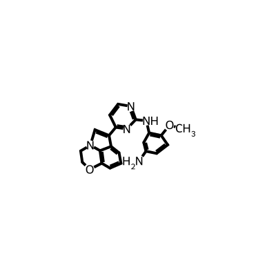 COc1ccc(N)cc1Nc1nccc(-c2cn3c4c(cccc24)OCC3)n1